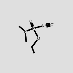 [C-]#[N+]P(=O)(OCC)N(C)C